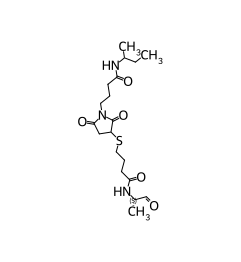 CCC(C)NC(=O)CCCN1C(=O)CC(SCCCC(=O)N[C@@H](C)C=O)C1=O